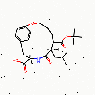 CC(C)C[C@H]1C(=O)N[C@H](C(=O)O)Cc2ccc(cc2)OCCCC1C(=O)OC(C)(C)C